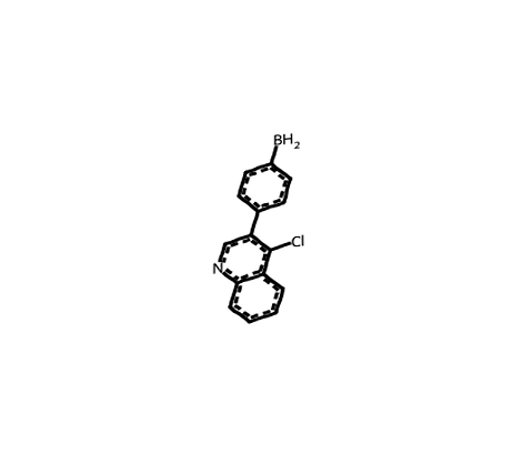 Bc1ccc(-c2cnc3ccccc3c2Cl)cc1